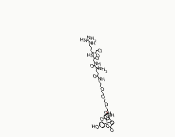 N=C(N)NCCC[C@H](NC(=O)CNC(=O)[C@@H](N)CCC(=O)NCCCOCCOCCOCCCNC(=O)c1cccc2c1C1(OC2=O)c2ccc(O)cc2Oc2cc(O)ccc21)C(=O)CCl